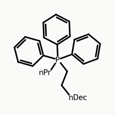 CCCCCCCCCCCCP(CCC)(c1ccccc1)(c1ccccc1)c1ccccc1